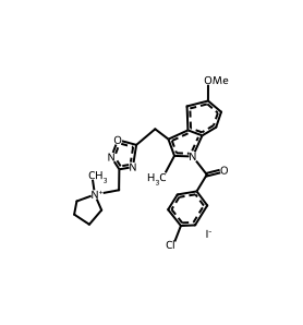 COc1ccc2c(c1)c(Cc1nc(C[N+]3(C)CCCC3)no1)c(C)n2C(=O)c1ccc(Cl)cc1.[I-]